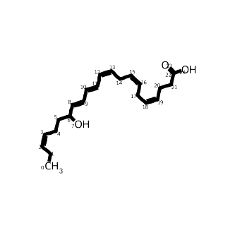 CC/C=C\CCC(O)/C=C/C=C/C=C\C/C=C\C/C=C\CCC(=O)O